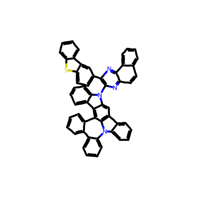 c1ccc2c(c1)-c1ccccc1-n1c3ccccc3c3cc4c(c-2c31)c1ccccc1n4-c1nc2ccc3ccccc3c2nc1-c1ccc2sc3ccccc3c2c1